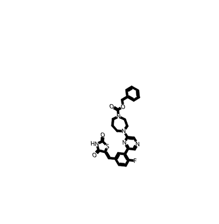 O=C1NC(=O)C(=Cc2ccc(F)c(-c3cncc(N4CCCN(C(=O)OCc5ccccc5)CC4)n3)c2)S1